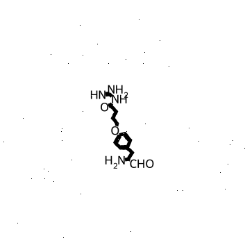 N=C(N)NC(=O)CCCOc1ccc(C[C@H](N)C=O)cc1